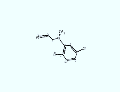 CN(CC=N)c1cc(Cl)nnc1Cl